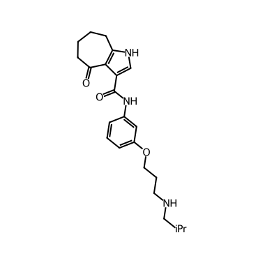 CC(C)CNCCCOc1cccc(NC(=O)c2c[nH]c3c2C(=O)CCCC3)c1